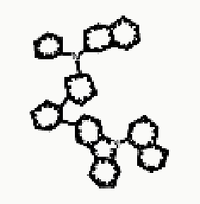 c1ccc(N(c2cccc(-c3ccccc3-c3ccc4c(c3)c3ccccc3n4-c3cccc4ccccc34)c2)c2ccc3ccccc3c2)cc1